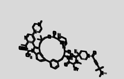 CO[C@@H](C)c1ncc(N2CCN(C)CC2)cc1-c1c2c3cc(ccc3n1CC(F)(F)F)-c1cccc(c1)C[C@H](NC(=O)[C@H](C(C)C)N(C)C(=O)C1(F)CCN(C(=O)C#CC(C)(C)N(C)C)CC1)C(=O)N1CCC[C@H](N1)C(=O)OCC(C)(C)C2